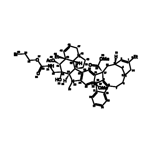 CCC1=C[C@@H]2CN(CCc3c([nH]c4ccccc34)[C@@](C(=O)OC)(c3cc4c(cc3OC)N(C)[C@H]3C(O)(CNC(=O)OCCBr)[C@H](OC(C)=O)[C@]5(CC)C=CCN6CC[C@]43[C@@H]65)C2)C1